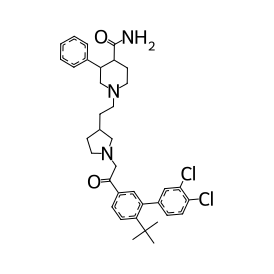 CC(C)(C)c1ccc(C(=O)CN2CCC(CCN3CCC(C(N)=O)C(c4ccccc4)C3)C2)cc1-c1ccc(Cl)c(Cl)c1